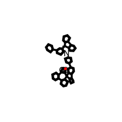 CC12c3ccccc3-c3cccc(c31)N(c1ccc(-c3ccc4c(c3)C3(c5ccccc5-c5ccccc5-c5ccccc53)c3ccccc3-4)cc1)c1ccc(-c3ccccc3)cc12